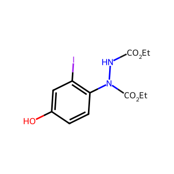 CCOC(=O)NN(C(=O)OCC)c1ccc(O)cc1I